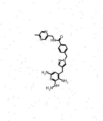 Cc1cnc(CNC(=O)c2ccc(Cn3cc(Cc4cc(N)nc(NN)c4N)cn3)cc2)cn1